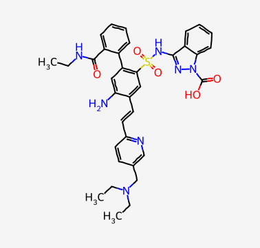 CCNC(=O)c1ccccc1-c1cc(N)c(/C=C/c2ccc(CN(CC)CC)cn2)cc1S(=O)(=O)Nc1nn(C(=O)O)c2ccccc12